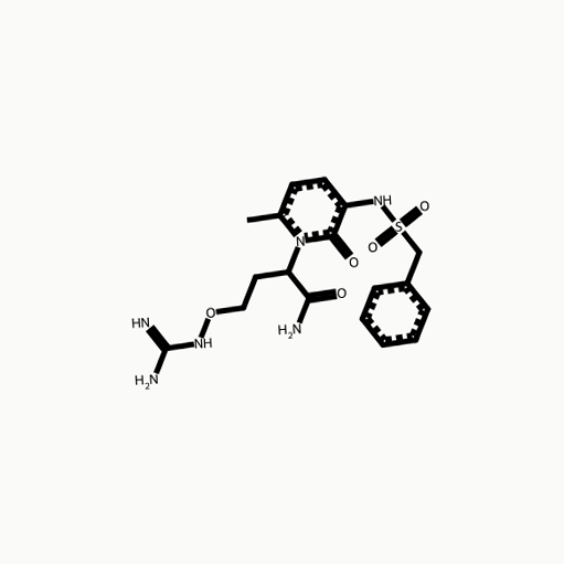 Cc1ccc(NS(=O)(=O)Cc2ccccc2)c(=O)n1C(CCONC(=N)N)C(N)=O